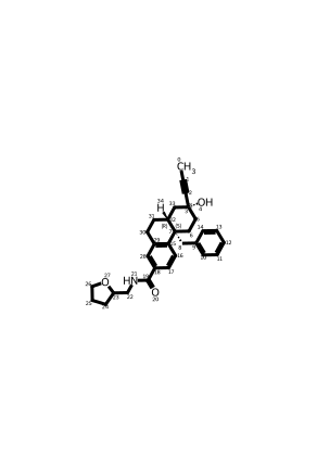 CC#C[C@@]1(O)CC[C@@]2(Cc3ccccc3)c3ccc(C(=O)NCC4CCCO4)cc3CC[C@@H]2C1